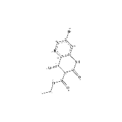 CCOC(=O)C1C(=O)Nc2cc(Br)cnc2C1=O